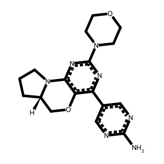 Nc1ncc(-c2nc(N3CCOCC3)nc3c2OC[C@@H]2CCCN32)cn1